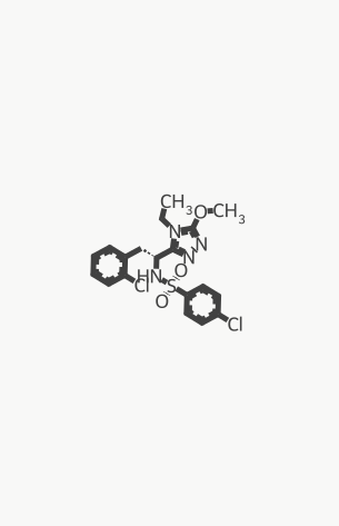 CCn1c(OC)nnc1[C@@H](Cc1ccccc1Cl)NS(=O)(=O)c1ccc(Cl)cc1